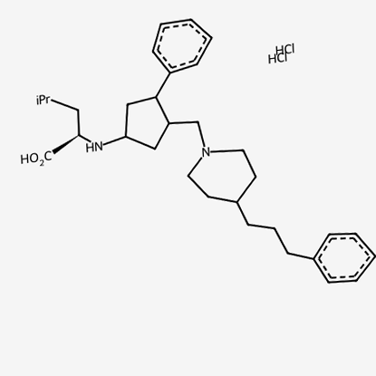 CC(C)C[C@@H](NC1CC(CN2CCC(CCCc3ccccc3)CC2)C(c2ccccc2)C1)C(=O)O.Cl.Cl